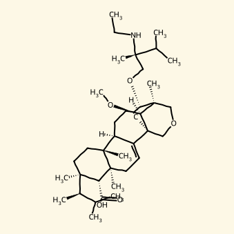 CCN[C@@](C)(CO[C@H]1[C@H](OC)C[C@@]23COC[C@@]1(C)[C@@H]2CC[C@H]1C3=CC[C@@]2(C)[C@H](C(=O)O)[C@@](C)([C@H](C)C(C)C)CC[C@]12C)C(C)C